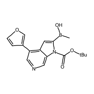 CB(O)c1cc2c(-c3ccoc3)cncc2n1C(=O)OC(C)(C)C